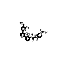 COc1nc(-c2ccnc(-c3cccc(NC(=O)c4nc5c(n4C)CCN(C(=O)O)C5)c3Cl)c2Cl)ccc1CO